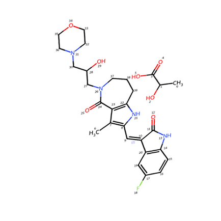 CC(O)C(=O)O.Cc1c(/C=C2\C(=O)Nc3ccc(F)cc32)[nH]c2c1C(=O)N(CC(O)CN1CCOCC1)CCC2